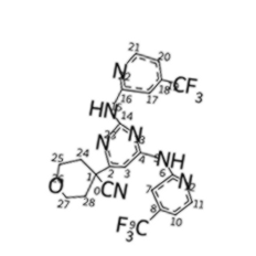 N#CC1(c2cc(Nc3cc(C(F)(F)F)ccn3)nc(Nc3cc(C(F)(F)F)ccn3)n2)CCOCC1